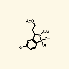 CC(=O)OCCC1c2cc(Br)ccc2S(O)(O)N1C(C)(C)C